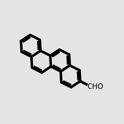 O=Cc1ccc2c(ccc3c4ccccc4ccc23)c1